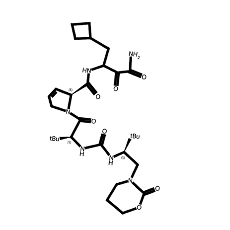 CC(C)(C)[C@H](NC(=O)N[C@H](CN1CCCOC1=O)C(C)(C)C)C(=O)N1CC=C[C@H]1C(=O)NC(CC1CCC1)C(=O)C(N)=O